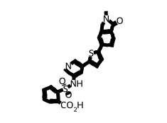 CN1Cc2cc(-c3ccc(-c4cncc(NS(=O)(=O)c5ccccc5C(=O)O)c4)s3)ccc2C1=O